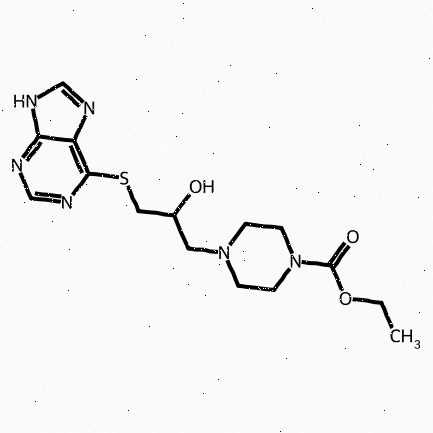 CCOC(=O)N1CCN(CC(O)CSc2ncnc3[nH]cnc23)CC1